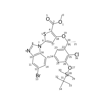 COC(=O)c1sc(-n2cnc3cc(Br)ccc32)cc1O[C@H](C)c1cccc(O[Si](C)(C)C(C)(C)C)c1Cl